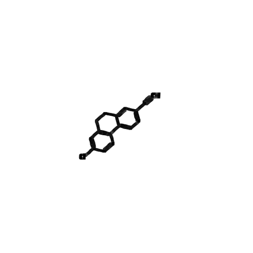 C#Cc1ccc2c(c1)CCc1cc(Cl)ccc1-2